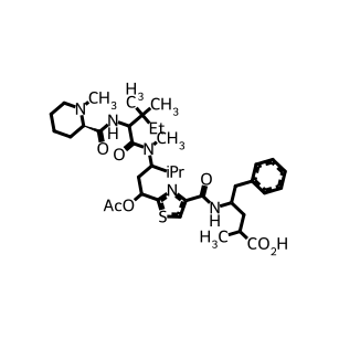 CCC(C)(C)C(NC(=O)[C@H]1CCCCN1C)C(=O)N(C)C(CC(OC(C)=O)c1nc(C(=O)NC(Cc2ccccc2)CC(C)C(=O)O)cs1)C(C)C